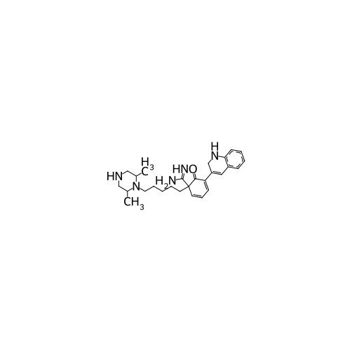 CC1CNCC(C)N1CCCCCC1(C(=N)N)C=CC=C(C2=Cc3ccccc3NC2)C1=O